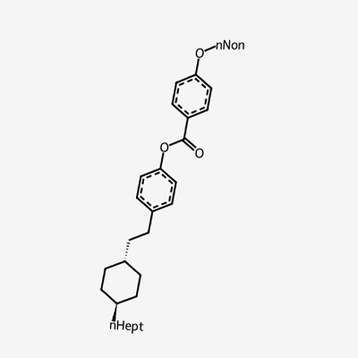 CCCCCCCCCOc1ccc(C(=O)Oc2ccc(CC[C@H]3CC[C@H](CCCCCCC)CC3)cc2)cc1